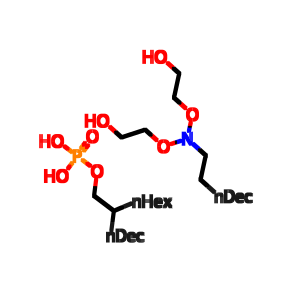 CCCCCCCCCCC(CCCCCC)COP(=O)(O)O.CCCCCCCCCCCCN(OCCO)OCCO